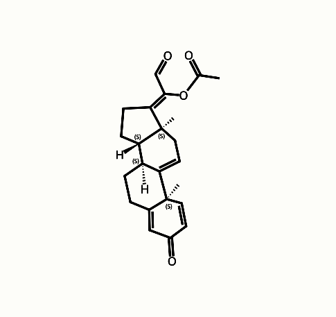 CC(=O)OC(C=O)=C1CC[C@H]2[C@@H]3CCC4=CC(=O)C=C[C@]4(C)C3=CC[C@]12C